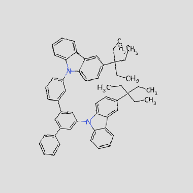 CCC(CC)(CC)c1ccc2c(c1)c1ccccc1n2-c1cccc(-c2cc(-c3ccccc3)cc(-n3c4ccccc4c4cc(C(CC)(CC)CC)ccc43)c2)c1